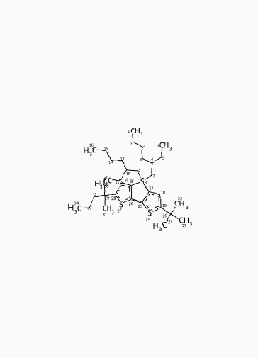 CCCCC(CC)CS1(CC(CC)CCCC)c2cc(C(C)(C)C)sc2-c2sc(C(C)(C)CCC)cc21